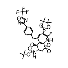 CC(C)(C)OC(=O)N[C@H]1CS(=O)(=O)C2=C(C1=O)C(Cc1ccc(-c3noc(C(F)(F)F)n3)cc1)=CC(B1OC(C)(C)C(C)(C)O1)=C(F)N2